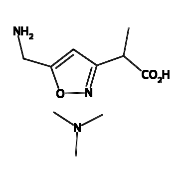 CC(C(=O)O)c1cc(CN)on1.CN(C)C